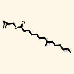 C/C=C/CC/C=C(\C)CCCCCCC(=O)OCC1CO1